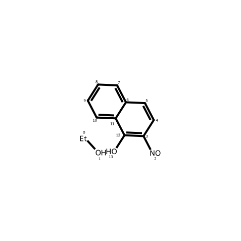 CCO.O=Nc1ccc2ccccc2c1O